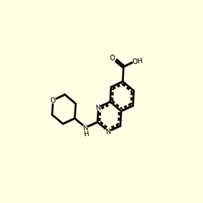 O=C(O)c1ccc2cnc(NC3CCOCC3)nc2c1